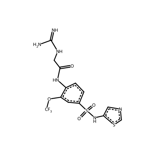 N=C(N)NCC(=O)Nc1ccc(S(=O)(=O)Nc2cncs2)cc1OC(F)(F)F